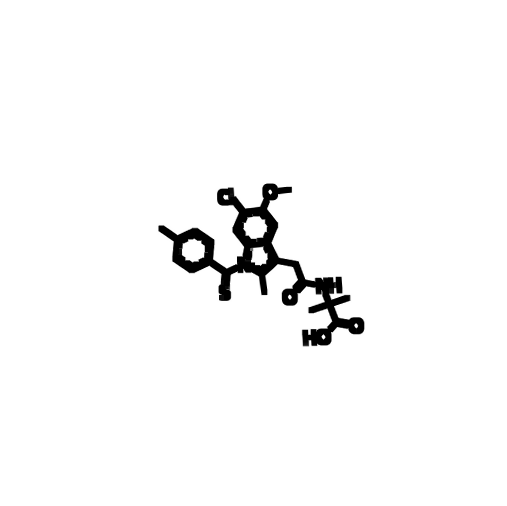 COc1cc2c(CC(=O)NC(C)(C)C(=O)O)c(C)n(C(=S)c3ccc(C)cc3)c2cc1Cl